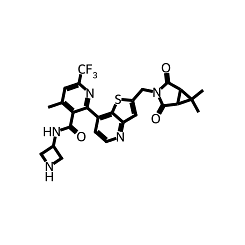 Cc1cc(C(F)(F)F)nc(-c2ccnc3cc(CN4C(=O)C5C(C4=O)C5(C)C)sc23)c1C(=O)NC1CNC1